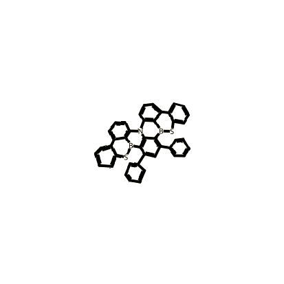 c1ccc(-c2cc(-c3ccccc3)c3c4c2B2Sc5ccccc5-c5cccc(c52)N4c2cccc4c2B3Sc2ccccc2-4)cc1